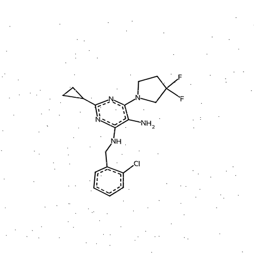 Nc1c(NCc2ccccc2Cl)nc(C2CC2)nc1N1CCC(F)(F)C1